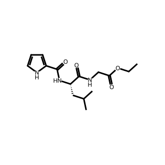 CCOC(=O)CNC(=O)[C@H](CC(C)C)NC(=O)c1ccc[nH]1